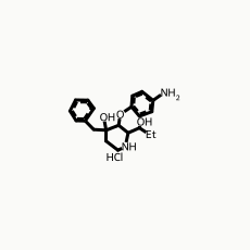 CCC(O)C1NCCC(O)(Cc2ccccc2)C1Oc1ccc(N)cc1.Cl